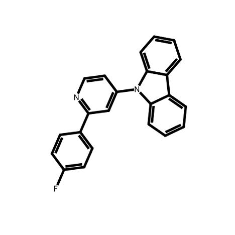 Fc1ccc(-c2cc(-n3c4ccccc4c4ccccc43)ccn2)cc1